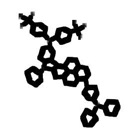 FC(F)(F)c1ccc(N(c2ccc(C(F)(F)F)cc2)c2ccc3c(c2)c2c4ccc5ccc(-c6ccc(N(c7ccccc7)c7ccccc7)cc6)c6ccc(cc2n3-c2ccccc2)c4c56)cc1